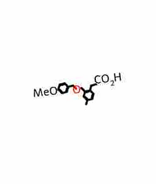 COc1ccc(COCc2cc(C)ccc2CCC(=O)O)cc1